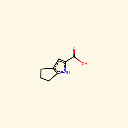 O=C(O)c1cc2c([nH]1)CCC2